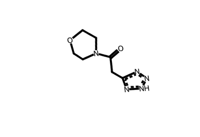 O=C(Cc1nn[nH]n1)N1CCOCC1